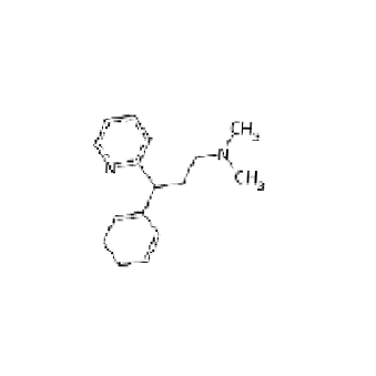 CN(C)CCC(C1=CCCC=C1)c1ccccn1